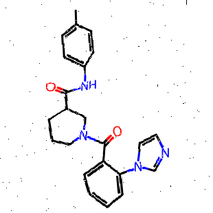 Cc1ccc(NC(=O)C2CCCN(C(=O)c3ccccc3-n3ccnc3)C2)cc1